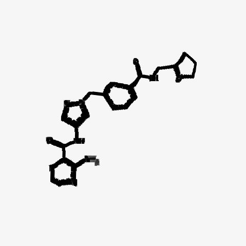 Nc1nccnc1C(=O)Nc1cnn(Cc2cccc(C(=O)NCC3CCCO3)c2)c1